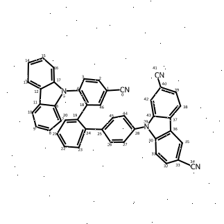 N#Cc1ccc(-n2c3ccccc3c3ccccc32)c(-c2ccccc2-c2ccc(-n3c4ccc(C#N)cc4c4ccc(C#N)cc43)cc2)c1